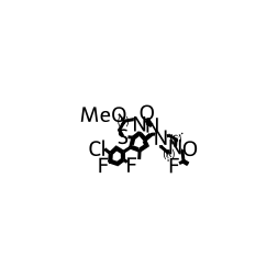 C=C(F)C(=O)N1[C@H](C)CN(c2nc(=O)n3c4c(c(-c5cc(Cl)c(F)cc5F)c(C)cc24)SC[C@@H](OC)C3)C[C@@H]1C